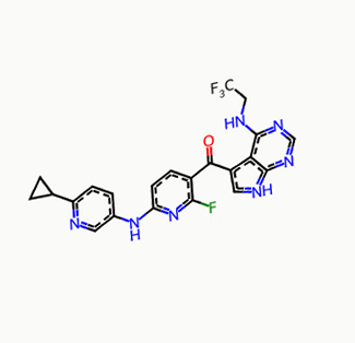 O=C(c1ccc(Nc2ccc(C3CC3)nc2)nc1F)c1c[nH]c2ncnc(NCC(F)(F)F)c12